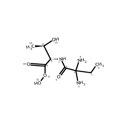 CCC(N)(N)C(=O)N[C@H](C(=O)OO)[C@@H](C)O